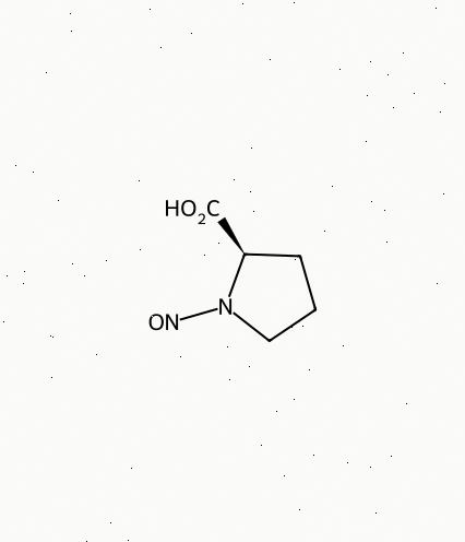 O=NN1CCC[C@@H]1C(=O)O